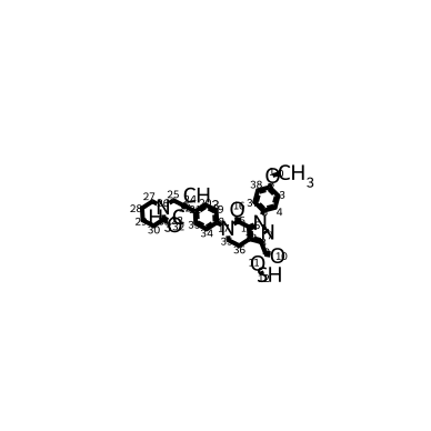 COc1ccc(-n2nc(C(=O)OS)c3c2C(=O)N(c2ccc(C(C)(C)CN4CCCCC4=O)cc2)CC3)cc1